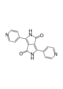 O=C1NC(c2ccncc2)=C2C(=O)NC(c3ccncc3)=C12